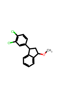 COC1CC(c2ccc(Cl)c(Cl)c2)c2ccccc21